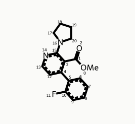 COC(=O)c1c(-c2ccccc2F)ccnc1N1CCCC1